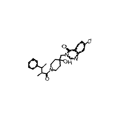 CC(C(=O)N1CCC(O)(Cn2cnc3cc(Cl)ccc3c2=O)CC1)C(C)c1ccccc1